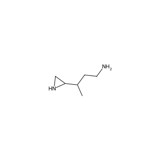 CC(CCN)C1CN1